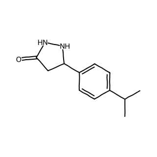 CC(C)c1ccc(C2CC(=O)NN2)cc1